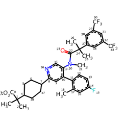 CCOC(=O)C(C)(C)C1CCC(c2cc(-c3ccc(F)cc3C)c(N(C)C(=O)C(C)(C)c3cc(C(F)(F)F)cc(C(F)(F)F)c3)cn2)CC1